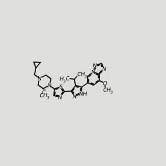 COc1cc(-c2[nH]nc(-c3ncc(N4CCN(CC5CC5)C[C@H]4C)s3)c2C(C)C)cn2ncnc12